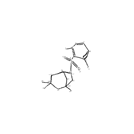 Cc1cccc(F)c1S(=O)(=O)N1CC2(C)CC1CC(C)(C)C2